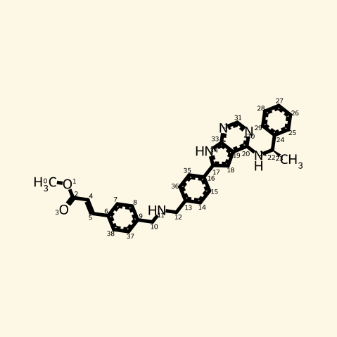 COC(=O)C=Cc1ccc(CNCc2ccc(-c3cc4c(N[C@H](C)c5ccccc5)ncnc4[nH]3)cc2)cc1